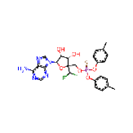 Cc1ccc(OP(=S)(OC[C@@]2(C(F)F)O[C@@H](n3cnc4c(N)ncnc43)[C@H](O)[C@@H]2O)Oc2ccc(C)cc2)cc1